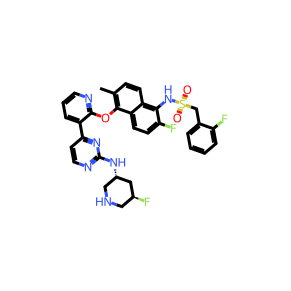 Cc1ccc2c(NS(=O)(=O)Cc3ccccc3F)c(F)ccc2c1Oc1ncccc1-c1ccnc(N[C@H]2CNC[C@H](F)C2)n1